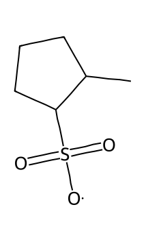 CC1CCCC1S([O])(=O)=O